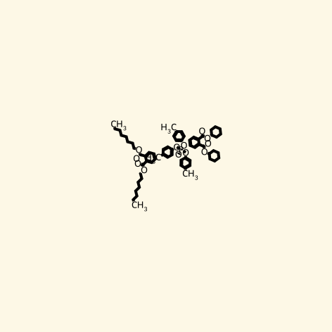 CCCCCCCCOC(=O)c1ccccc1C(=O)OCCCCCCCC.Cc1ccc(OP(=O)(Oc2ccc(C)cc2)Oc2ccc(C)cc2)cc1.O=C(OC1CCCCC1)c1ccccc1C(=O)OC1CCCCC1